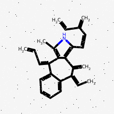 C=C/C=C1/c2ccccc2/C(=C/C)C(=C)c2c(/C=C\C(=C)C=C)[nH]c(C)c21